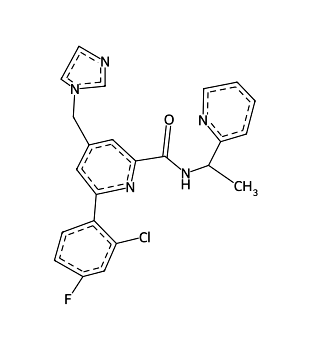 CC(NC(=O)c1cc(Cn2ccnc2)cc(-c2ccc(F)cc2Cl)n1)c1ccccn1